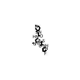 CN1CCc2nc(C(=O)N[C@@H](CNC(=S)C(=O)Nc3ccc(F)cn3)CC(=O)N(C)C)sc2C1